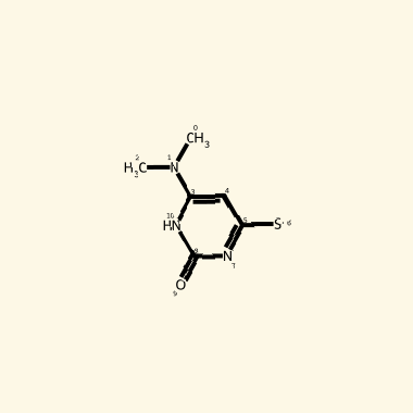 CN(C)c1cc([S])nc(=O)[nH]1